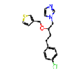 Clc1ccc(CCC(Cn2ccnc2)OCc2ccsc2)cc1